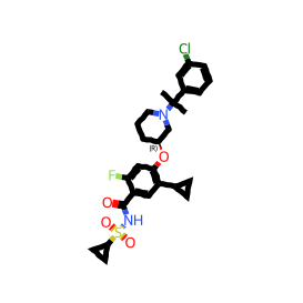 CC(C)(c1cccc(Cl)c1)N1CCC[C@@H](Oc2cc(F)c(C(=O)NS(=O)(=O)C3CC3)cc2C2CC2)C1